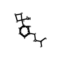 CC(C)OCc1cccc(C2(O)CCC2)n1